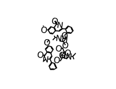 COc1ccc2cc(-c3ccccc3OCC(CNC(C)C)OC(=O)C(=O)OC(CNC(C)C)COc3ccccc3-c3cc4ccc(OC)cc4c(=O)n3C)n(C)c(=O)c2c1